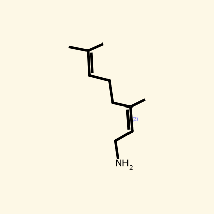 CC(C)=CCC/C(C)=C\CN